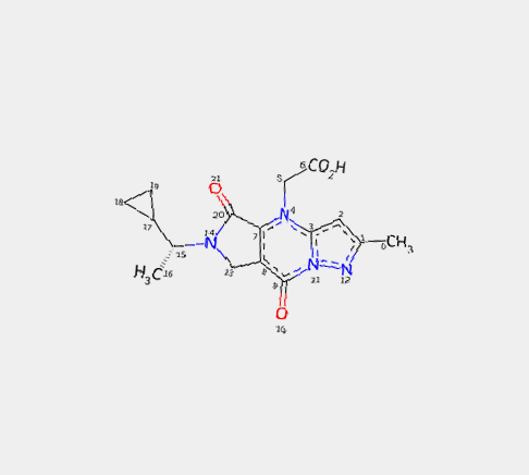 Cc1cc2n(CC(=O)O)c3c(c(=O)n2n1)CN([C@H](C)C1CC1)C3=O